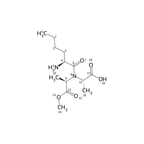 CCCC[C@H](N)C(=O)N([C@H](C)C(=O)OC)[C@@H](C)C(=O)O